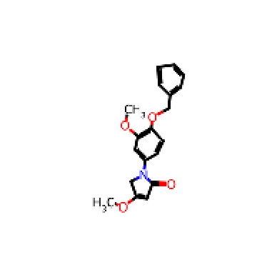 COC1=CC(=O)N(c2ccc(OCc3ccccc3)c(OC)c2)C1